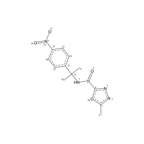 Cc1nnc(C(=O)NC(C)(C)c2ccc([N+](=O)[O-])cc2)o1